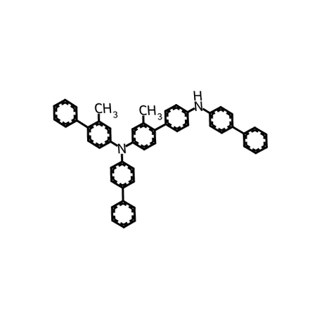 Cc1cc(N(c2ccc(-c3ccccc3)cc2)c2ccc(-c3ccc(Nc4ccc(-c5ccccc5)cc4)cc3)c(C)c2)ccc1-c1ccccc1